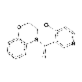 O=C(c1cnccc1Cl)N1CCOc2ccccc21